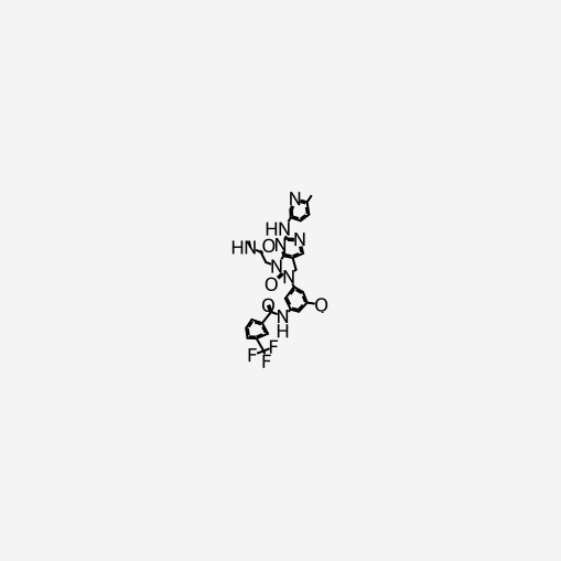 CNC(=O)CN1C(=O)N(c2cc(NC(=O)c3cccc(C(F)(F)F)c3)cc(OC)c2)Cc2cnc(Nc3ccc(C)nc3)nc21